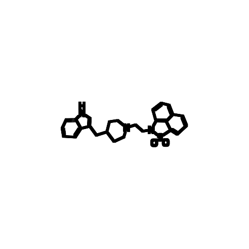 O=S1(=O)c2cccc3cccc(c23)N1CCN1CCC(Cc2c[nH]c3ccccc23)CC1